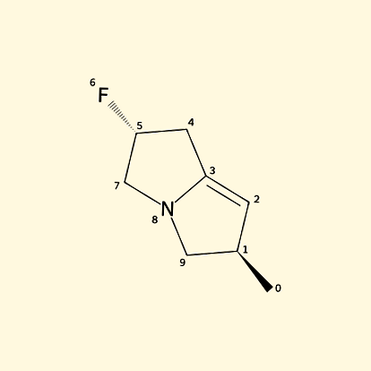 C[C@@H]1C=C2C[C@@H](F)CN2C1